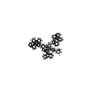 c1ccc(-c2ccc(N3c4cc(-c5ccc6c(c5)c5ccccc5n6-c5c(-c6ccccc6)cccc5-c5ccccc5)ccc4B4c5ccc(-c6ccc7c(c6)c6ccccc6n7-c6c(-c7ccccc7)cccc6-c6ccccc6)cc5Oc5cc(-n6c7ccccc7c7ccccc76)cc3c54)cc2)cc1